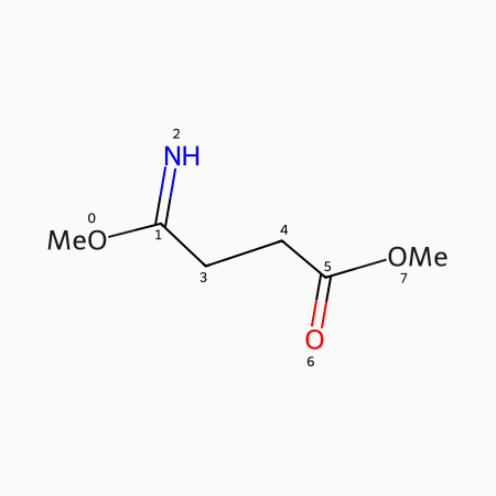 COC(=N)CCC(=O)OC